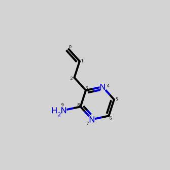 C=CCc1nccnc1N